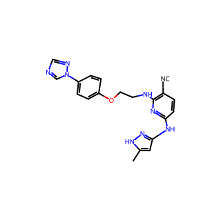 [C-]#[N+]c1ccc(Nc2cc(C)[nH]n2)nc1NCCOc1ccc(-n2cncn2)cc1